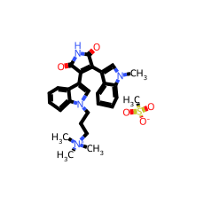 CS(=O)(=O)[O-].Cn1cc(C2=C(c3cn(CCC[N+](C)(C)C)c4ccccc34)C(=O)NC2=O)c2ccccc21